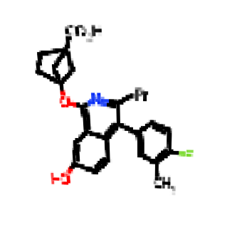 Cc1cc(-c2c(C(C)C)nc(OC34CCC(C(=O)O)(C3)C4)c3cc(O)ccc23)ccc1F